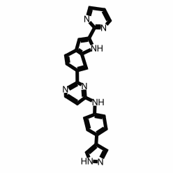 c1cnc(-c2cc3ccc(-c4nccc(Nc5ccc(-c6cn[nH]c6)cc5)n4)cc3[nH]2)nc1